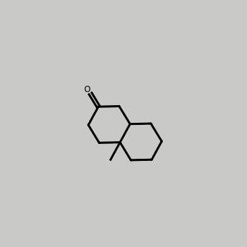 CC12CCCCC1CC(=O)CC2